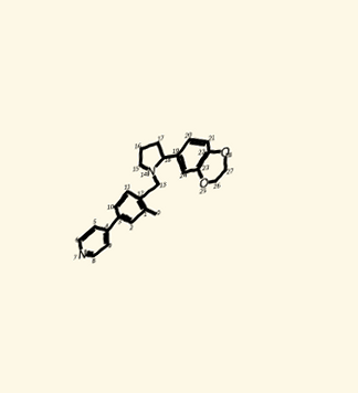 Cc1cc(-c2ccncc2)ccc1CN1CCCC1c1ccc2c(c1)OCCO2